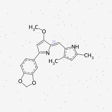 COC1=CC(c2ccc3c(c2)OCO3)=N/C1=C\c1[nH]c(C)cc1C